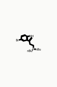 CCCCN(CCCC)CCc1c[nH]c2ccc(Br)cc12